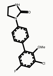 COc1c(Cl)cc(F)cc1-c1ccc(N2CCNC2=O)cc1